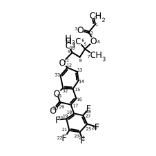 C=CC(=O)OC(C)(C)CC(C)Oc1ccc2cc(-c3c(F)c(F)c(F)c(F)c3F)c(=O)oc2c1